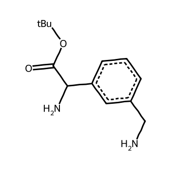 CC(C)(C)OC(=O)C(N)c1cccc(CN)c1